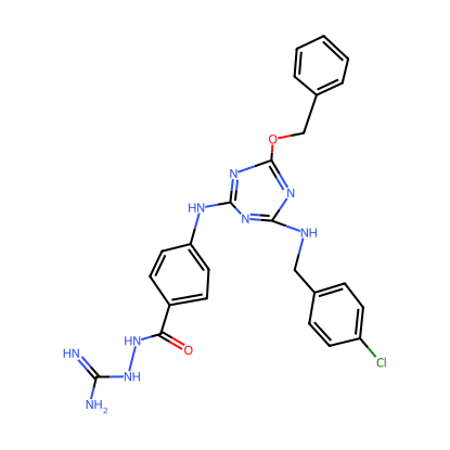 N=C(N)NNC(=O)c1ccc(Nc2nc(NCc3ccc(Cl)cc3)nc(OCc3ccccc3)n2)cc1